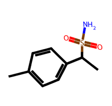 Cc1ccc(C(C)S(N)(=O)=O)cc1